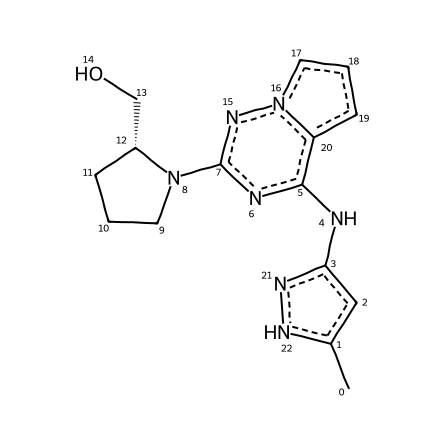 Cc1cc(Nc2nc(N3CCC[C@@H]3CO)nn3cccc23)n[nH]1